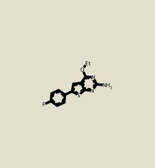 CCOc1nc(N)nc2sc(-c3ccc(F)cc3)cc12